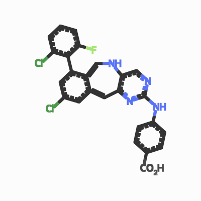 O=C(O)c1ccc(Nc2ncc3c(n2)C=c2cc(Cl)cc(-c4c(F)cccc4Cl)c2=CN3)cc1